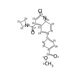 COC(=O)c1ccc(-c2ccc3nc(Cl)cc(C(=O)N4CCC4)c3c2)cc1